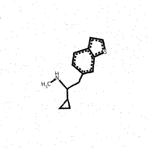 CNC(Cc1ccc2ccsc2c1)C1CC1